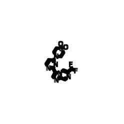 O=S1(=O)CCN(c2ccnc(-c3cnc4cnc(C(F)F)cn34)n2)CC1